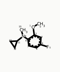 COc1cc(F)ccc1N(C)C1CC1